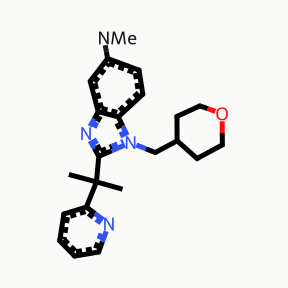 CNc1ccc2c(c1)nc(C(C)(C)c1ccccn1)n2CC1CCOCC1